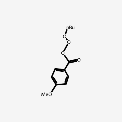 CCCCOOOC(=O)c1ccc(OC)cc1